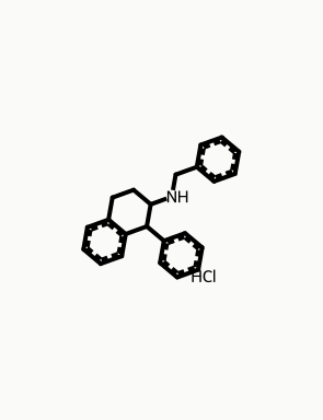 Cl.c1ccc(CNC2CCc3ccccc3C2c2ccccc2)cc1